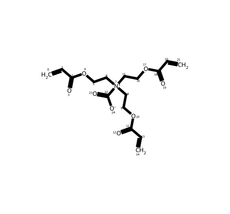 C=CC(=O)OCC[N+](CCOC(=O)C=C)(CCOC(=O)C=C)C(=O)[O-]